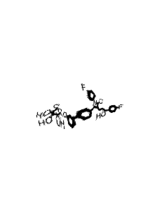 CO[C@H]1O[C@H](COc2cccc(-c3ccc(C4C(CC[C@H](O)c5ccc(F)cc5)C(=O)N4c4ccc(F)cc4)cc3)c2)[C@@H](O)[C@H](O)[C@H]1O